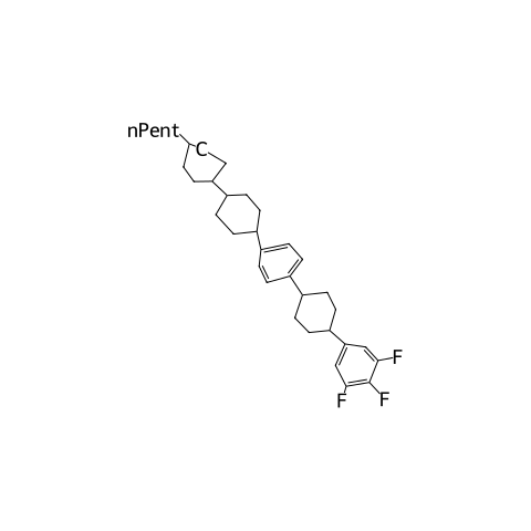 CCCCCC1CCC(C2CCC(c3ccc(C4CCC(c5cc(F)c(F)c(F)c5)CC4)cc3)CC2)CC1